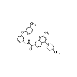 Cc1ccnc(Oc2cccc(CNC(=O)c3ccc4c(N5CCN(C)CC5)nc(N)nc4c3)c2)c1